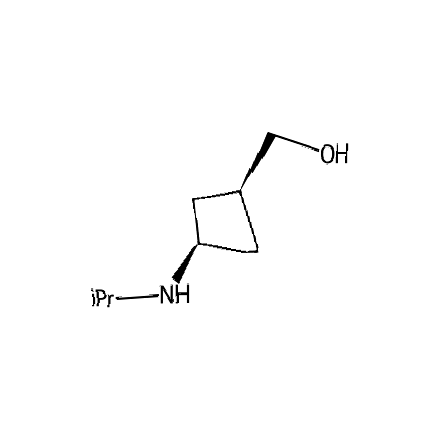 CC(C)N[C@H]1C[C@@H](CO)C1